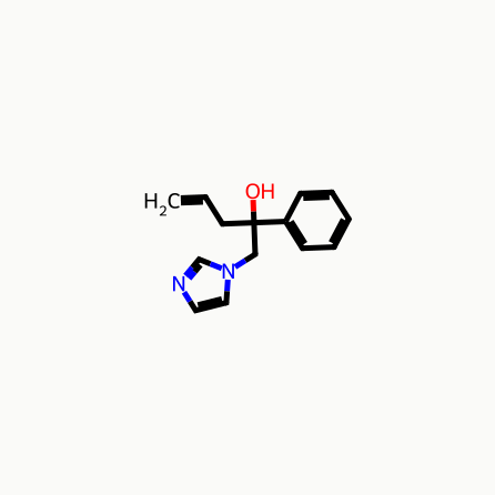 C=CCC(O)(Cn1ccnc1)c1ccccc1